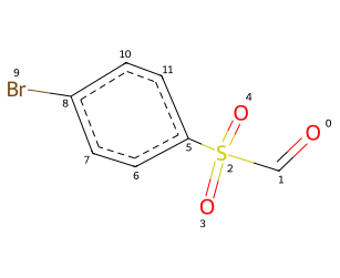 O=CS(=O)(=O)c1ccc(Br)cc1